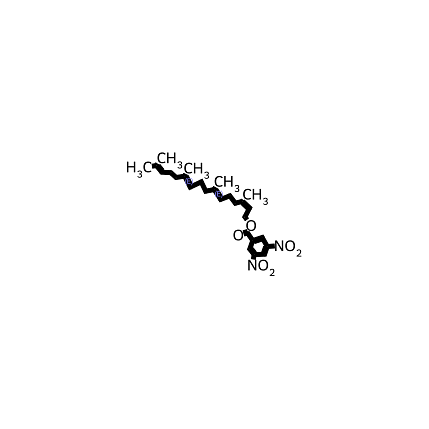 CC(C)=CCC/C(C)=C/CC/C(C)=C/CCC(C)=CCOC(=O)c1cc([N+](=O)[O-])cc([N+](=O)[O-])c1